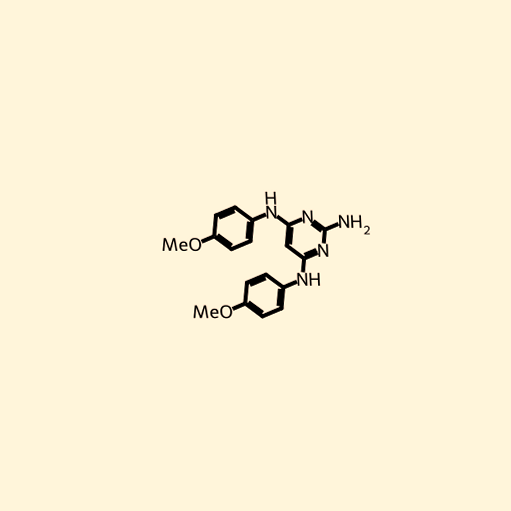 COc1ccc(Nc2cc(Nc3ccc(OC)cc3)nc(N)n2)cc1